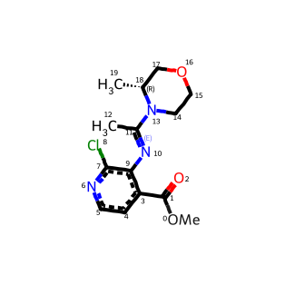 COC(=O)c1ccnc(Cl)c1/N=C(\C)N1CCOC[C@H]1C